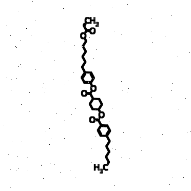 C=CC(=O)OCCCCCCc1ccc(OC(=O)C2CCC(OC(=O)c3ccc(CCCCCC)cc3)CC2)cc1